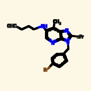 CCCc1nc2c(C)c(NCCCC=O)cnc2n1Cc1ccc(Br)cc1